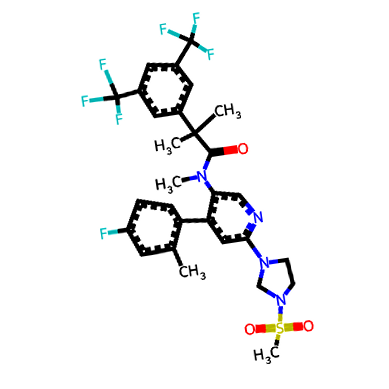 Cc1cc(F)ccc1-c1cc(N2CCN(S(C)(=O)=O)C2)ncc1N(C)C(=O)C(C)(C)c1cc(C(F)(F)F)cc(C(F)(F)F)c1